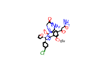 CC(C)(C)Oc1cc(C(=O)CC(N)=O)ccc1C1=N[C@@H](c2ccc(Cl)cc2)[C@@H](c2ccco2)N1C(=O)N1CCNC(=O)C1